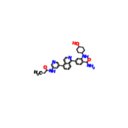 CCC(=O)Nc1cncc(-c2cccc3c(-c4ccc(C(N)=O)c(NC5CCC(O)CC5)c4)nccc23)c1